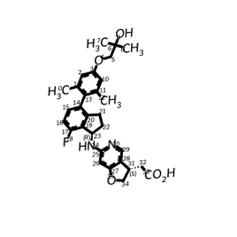 Cc1cc(OCC(C)(C)O)cc(C)c1-c1ccc(F)c2c1CC[C@H]2Nc1cc2c(cn1)[C@H](CC(=O)O)CO2